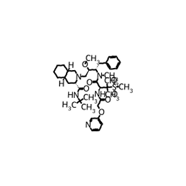 CO[C@H](CN1C[C@H]2CCCC[C@H]2C[C@H]1C(=O)NC(C)(C)C)[C@H](Cc1ccccc1)N(C)C(=O)[C@H](NC(=O)COc1cccnc1)C(C)(C)S(C)(=O)=O